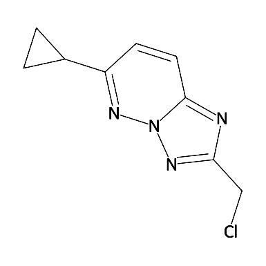 ClCc1nc2ccc(C3CC3)nn2n1